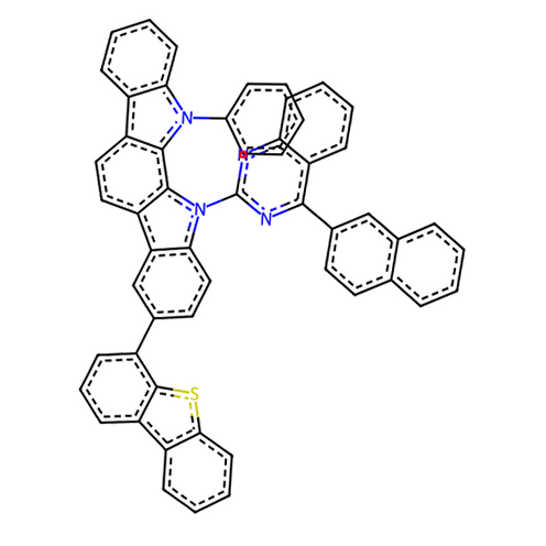 c1ccc(-n2c3ccccc3c3ccc4c5cc(-c6cccc7c6sc6ccccc67)ccc5n(-c5nc(-c6ccc7ccccc7c6)c6ccccc6n5)c4c32)cc1